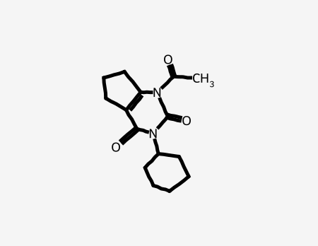 CC(=O)n1c2c(c(=O)n(C3CCCCC3)c1=O)CCC2